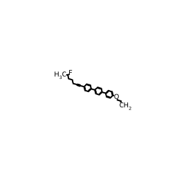 C=CCOc1ccc(-c2ccc(-c3ccc(C#CCCCC(C)F)cc3)cc2)cc1